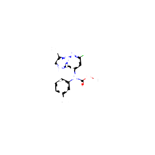 CC(C)c1cnc2c(N(C(=O)OC(C)(C)C)c3cccc(C(F)(F)F)c3)cc(Cl)nn12